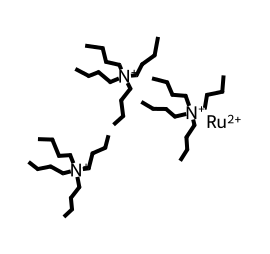 CCCC[N+](CCCC)(CCCC)CCCC.CCCC[N+](CCCC)(CCCC)CCCC.CCCC[N+](CCCC)(CCCC)CCCC.[Ru+2]